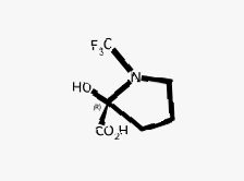 O=C(O)[C@]1(O)CCCN1C(F)(F)F